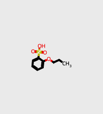 CC[CH]Oc1ccccc1S(=O)(=O)O